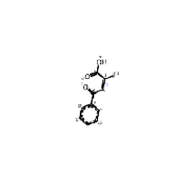 O=C(O)/C(F)=C\C(=O)c1ccccc1